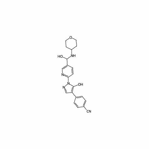 N#Cc1ccc(-c2cnn(-c3ccc(C(O)NC4CCOCC4)cn3)c2O)cc1